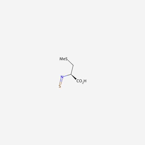 CSC[C@H](N=S)C(=O)O